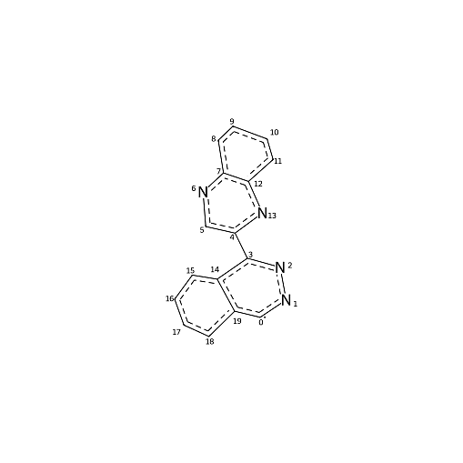 [c]1nnc(-c2cnc3ccccc3n2)c2ccccc12